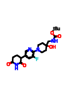 CC(C)(C)OC(=O)NCC1(O)CCN(c2ncc(C3CCC(=O)NC3=O)cc2F)CC1